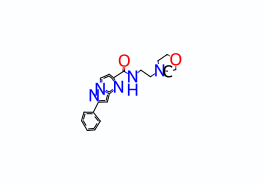 O=C(NCCN1CCOCC1)c1ccn2nc(-c3ccccc3)cc2n1